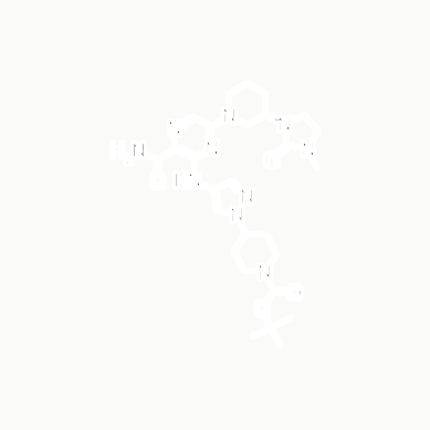 CN1CCN([C@@H]2CCCN(c3cnc(C(N)=O)c(Nc4cnn(C5CCN(C(=O)OC(C)(C)C)CC5)c4)n3)C2)C1=O